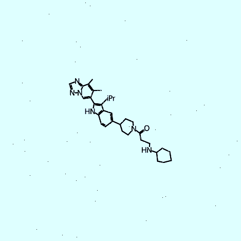 Cc1c(-c2[nH]c3ccc(C4CCN(C(=O)CCNC5CCCCC5)CC4)cc3c2C(C)C)cn2ncnc2c1C